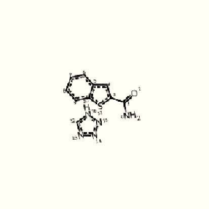 NC(=O)c1cc2ccccc2s1.c1nnn[nH]1